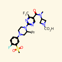 CC(C)C1CN(c2ccc(F)c(S(C)(=O)=O)c2)CCN1c1ncc(C(=O)N(C)C2CN(C(=O)O)C2)c(C(F)(F)F)n1